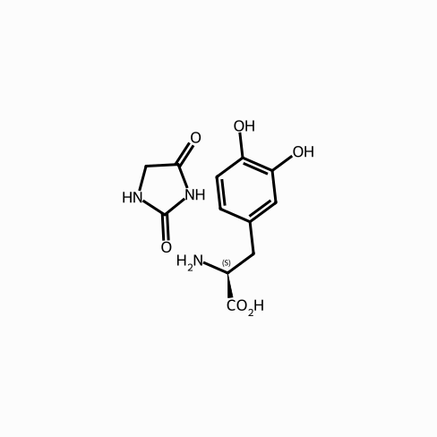 N[C@@H](Cc1ccc(O)c(O)c1)C(=O)O.O=C1CNC(=O)N1